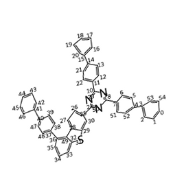 c1ccc(-c2ccc(-c3nc(-c4ccc(-c5ccccc5)cc4)nc(-c4ccc5c(c4)sc4cccc(-c6ccc(-c7ccccc7)cc6)c45)n3)cc2)cc1